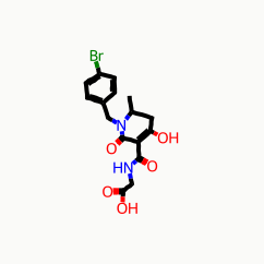 CC1CC(O)=C(C(=O)NCC(=O)O)C(=O)N1Cc1ccc(Br)cc1